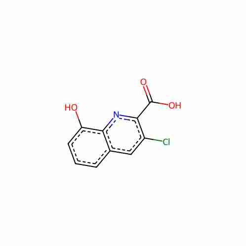 O=C(O)c1nc2c(O)cccc2cc1Cl